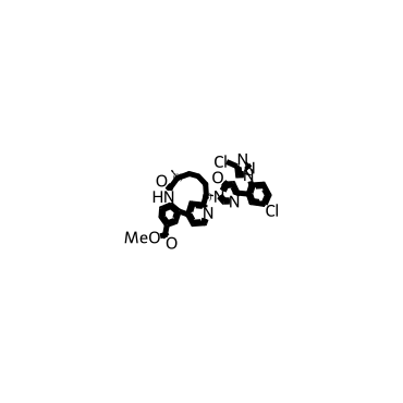 COC(=O)c1ccc2c(c1)-c1ccnc(c1)[C@@H](n1cnc(-c3cc(Cl)ccc3-n3cc(Cl)nn3)cc1=O)CCC[C@@H](C)C(=O)N2